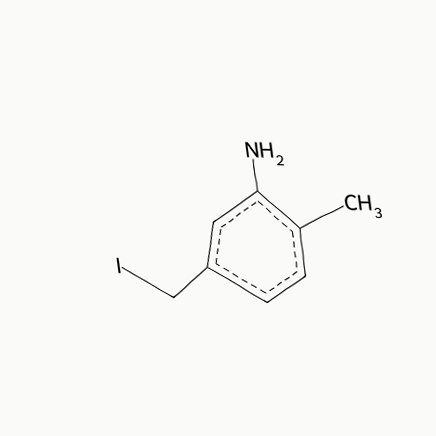 Cc1ccc(CI)cc1N